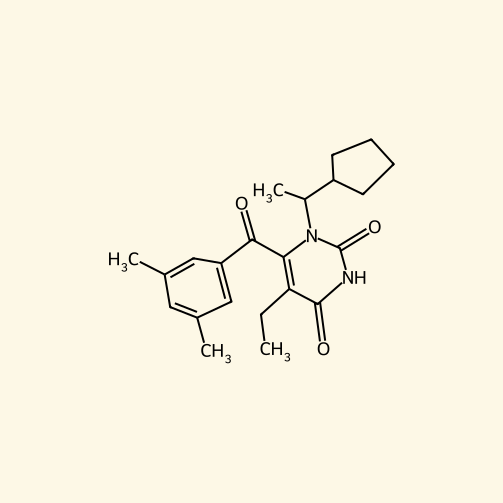 CCc1c(C(=O)c2cc(C)cc(C)c2)n(C(C)C2CCCC2)c(=O)[nH]c1=O